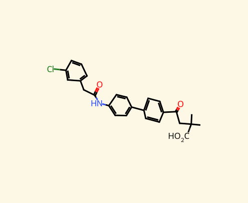 CC(C)(CC(=O)c1ccc(-c2ccc(NC(=O)Cc3cccc(Cl)c3)cc2)cc1)C(=O)O